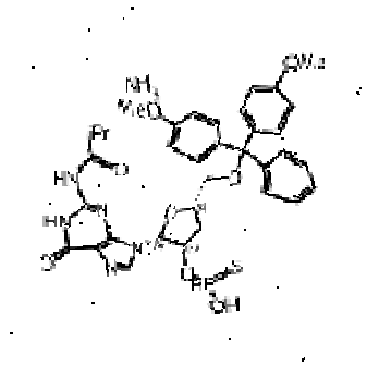 COc1ccc(C(OC[C@@H]2C[C@@H](O[PH](O)=S)[C@H](n3cnc4c(=O)[nH]c(NC(=O)C(C)C)nc43)O2)(c2ccccc2)c2ccc(OC)cc2)cc1.N